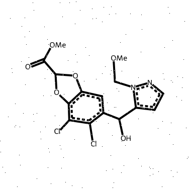 COCn1nccc1C(O)c1cc2c(c(Cl)c1Cl)OC(C(=O)OC)O2